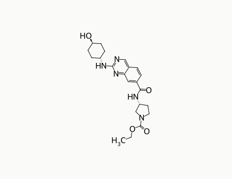 CCOC(=O)N1CC[C@@H](NC(=O)c2ccc3cnc(N[C@H]4CC[C@H](O)CC4)nc3c2)C1